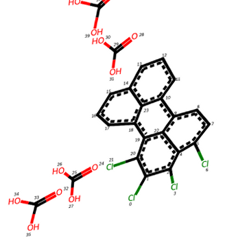 Clc1c(Cl)c2c(Cl)ccc3c4cccc5cccc(c(c1Cl)c23)c54.O=C(O)O.O=C(O)O.O=C(O)O.O=C(O)O